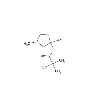 CCC(C)(C)C(=O)OC1(C(C)C)CCC(C)C1